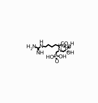 N=C(N)NCCCC[C@@H](C(=O)O)N(CP(=O)(O)O)CP(=O)(O)O